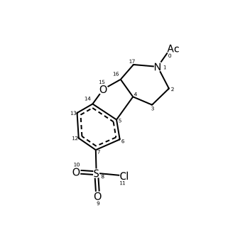 CC(=O)N1CCC2c3cc(S(=O)(=O)Cl)ccc3OC2C1